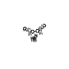 Br.Br.Br.Br.CC(C)c1cc(-c2cc(C(C)C)c(N=CCc3ccccn3)c(C(C)C)c2)cc(C(C)C)c1N=CCc1ccccn1.[Ni].[Ni]